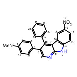 CNc1ccc(-c2cnc3[nH]c4ccc([N+](=O)[O-])cc4c3c2-c2ccccc2)cc1